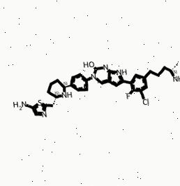 C[C@H](N)CCCc1cc(Cl)c(F)c(-c2cc3c([nH]2)=NC(O)N(c2ccc([C@@H]4CCC[C@@H](Cc5ncc(N)s5)N4)cc2)C=3)c1